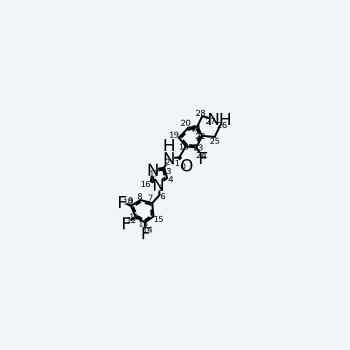 O=C(Nc1cn(Cc2cc(F)c(F)c(F)c2)cn1)c1ccc2c(c1F)CCNC2